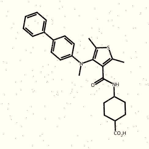 Cc1sc(C)c(N(C)c2ccc(-c3ccccc3)cc2)c1C(=O)NC1CCC(C(=O)O)CC1